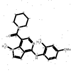 COc1ccc(Nc2ncc(C(=O)N3CCCCC3)c3c2ccn3C)c(C)c1